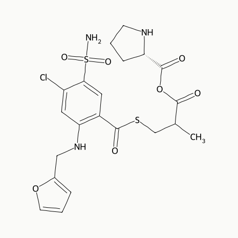 CC(CSC(=O)c1cc(S(N)(=O)=O)c(Cl)cc1NCc1ccco1)C(=O)OC(=O)[C@@H]1CCCN1